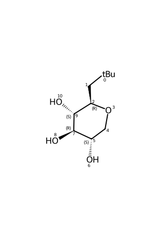 CC(C)(C)C[C@H]1OC[C@H](O)[C@@H](O)[C@@H]1O